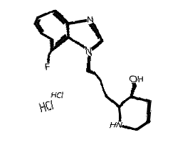 Cl.Cl.OC1CCCNC1CCCn1cnc2cccc(F)c21